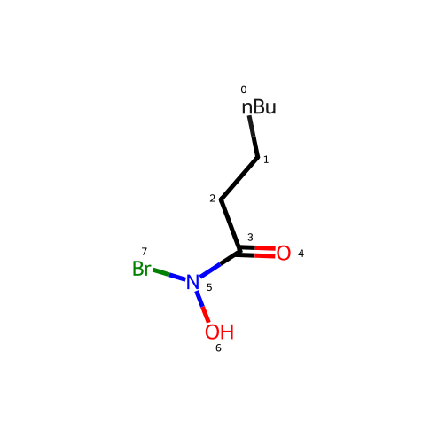 CCCCCCC(=O)N(O)Br